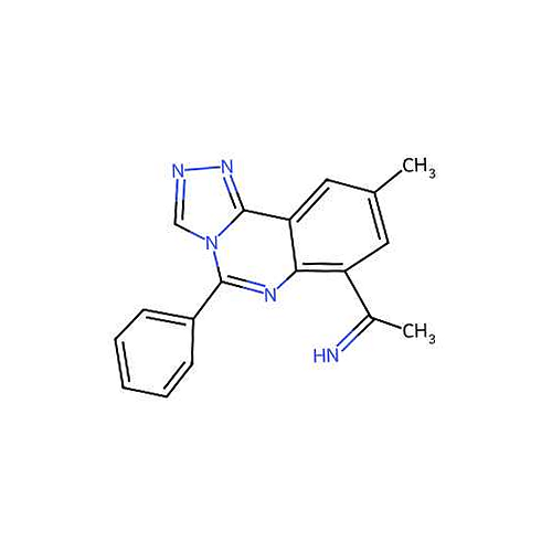 CC(=N)c1cc(C)cc2c1nc(-c1ccccc1)n1cnnc21